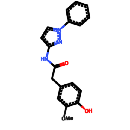 COc1cc(CC(=O)Nc2ccn(-c3ccccc3)n2)ccc1O